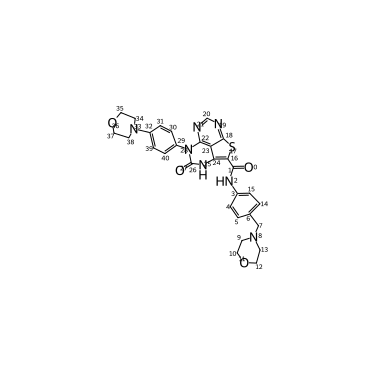 O=C(Nc1ccc(CN2CCOCC2)cc1)c1sc2ncnc3c2c1NC(=O)N3c1ccc(N2CCOCC2)cc1